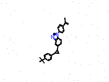 CC(C)c1ccc(-n2cnc3cc(C4CC4c4ccc(C(C)(C)C)cc4)ccc32)cc1